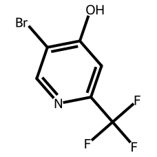 Oc1cc(C(F)(F)F)ncc1Br